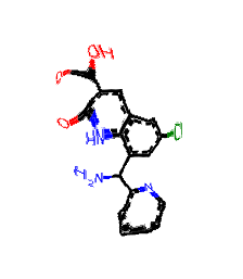 NC(c1ccccn1)c1cc(Cl)cc2cc(C(=O)O)c(=O)[nH]c12